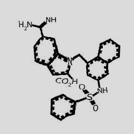 N=C(N)c1ccc2cc(C(=O)O)n(Cc3cc(NS(=O)(=O)c4ccccc4)cc4ccccc34)c2c1